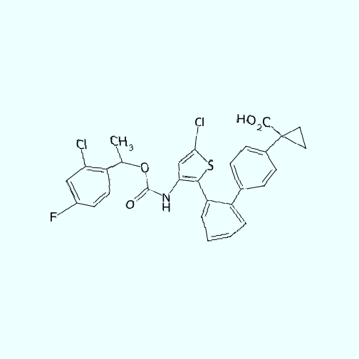 CC(OC(=O)Nc1cc(Cl)sc1-c1ccccc1-c1ccc(C2(C(=O)O)CC2)cc1)c1ccc(F)cc1Cl